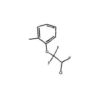 Cc1ccccc1OC(F)(F)C(F)Cl